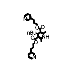 CCCCC1C(C(=O)OCCCc2cccnc2)=C(C)NC(C)=C1C(=O)OCCCc1cccnc1